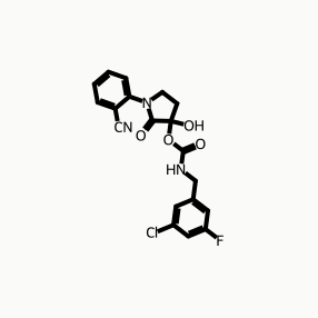 N#Cc1ccccc1N1CCC(O)(OC(=O)NCc2cc(F)cc(Cl)c2)C1=O